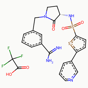 N=C(N)c1cccc(CN2CC[C@H](NS(=O)(=O)c3ccc(-c4cccnc4)s3)C2=O)c1.O=C(O)C(F)(F)F